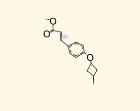 COC(=O)/C=C/c1ccc(OC2CC(C)C2)cc1